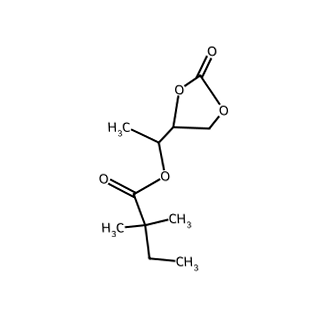 CCC(C)(C)C(=O)OC(C)C1COC(=O)O1